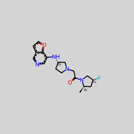 C[C@@H]1C[C@H](F)CN1C(=O)CN1CC[C@H](Nc2cncc3ccoc23)C1